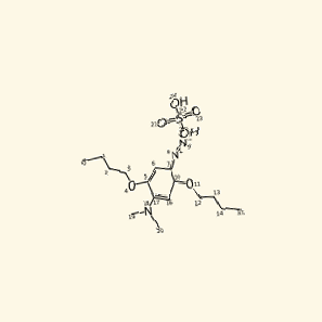 CCCCOC1=CC(=[N+]=[N-])C(OCCCC)C=C1N(C)C.O=S(=O)(O)O